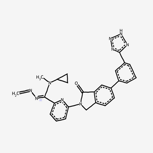 C=N/N=C(/c1cccc(N2Cc3ccc(-c4cccc(-c5nn[nH]n5)c4)cc3C2=O)n1)N(C)C1CC1